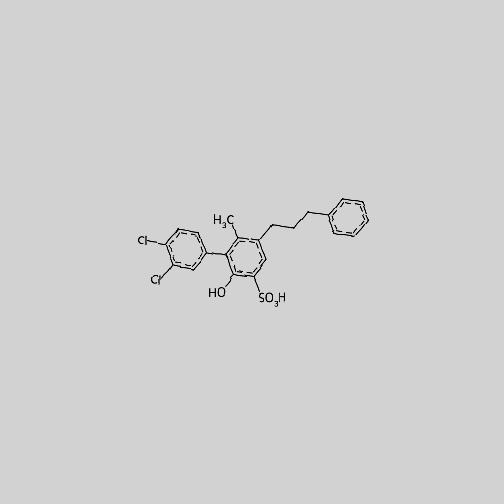 Cc1c(CCCc2ccccc2)cc(S(=O)(=O)O)c(O)c1-c1ccc(Cl)c(Cl)c1